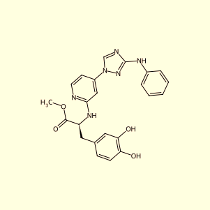 COC(=O)[C@H](Cc1ccc(O)c(O)c1)Nc1cc(-n2cnc(Nc3ccccc3)n2)ccn1